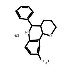 Cl.O=C(O)c1ccc2c(c1)C1OCCCC1C(c1ccccc1)N2